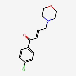 O=C(/C=C/CN1CCOCC1)c1ccc(Cl)cc1